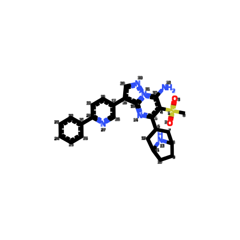 CS(=O)(=O)c1c(C2CC3CCC(C2)N3)nc2c(-c3ccc(-c4ccccc4)nc3)cnn2c1N